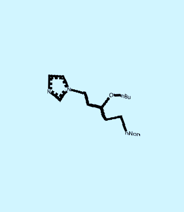 CCCCCCCCCCCC(CCn1ccnc1)OCCCC